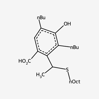 CCCCCCCCSC(C)c1c(C(=O)O)cc(CCCC)c(O)c1CCCC